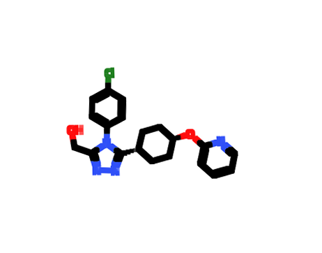 OCc1nnc([C@H]2CC[C@H](Oc3ccccn3)CC2)n1-c1ccc(Cl)cc1